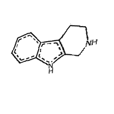 [CH]1CNCc2[nH]c3ccccc3c21